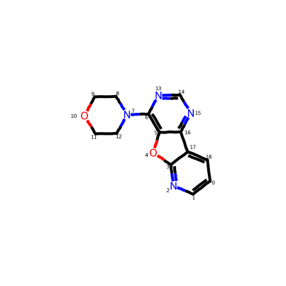 c1cnc2oc3c(N4CCOCC4)ncnc3c2c1